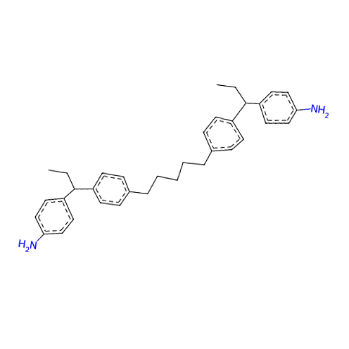 CCC(c1ccc(N)cc1)c1ccc(CCCCCc2ccc(C(CC)c3ccc(N)cc3)cc2)cc1